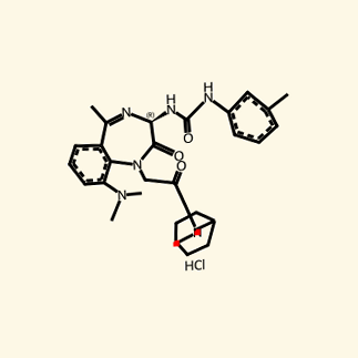 CC1=N[C@@H](NC(=O)Nc2cccc(C)c2)C(=O)N(CC(=O)N2CC3CCC(CC3)C2)c2c1cccc2N(C)C.Cl